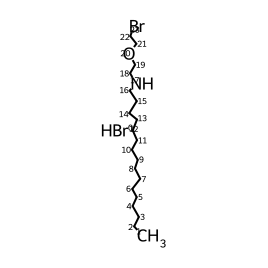 Br.CCCCCCCCCCCCCCCCNCCOCCBr